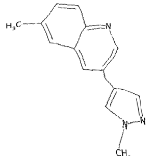 Cc1ccc2ncc(-c3cnn(C)c3)cc2c1